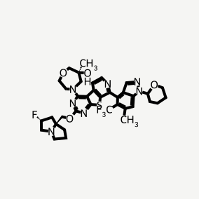 Cc1cc2c(cnn2C2CCCCO2)c(-c2nccc3c2sc2nc(OC[C@@]45CCCN4C[C@H](F)C5)nc(N4CCOC[C@@](C)(O)C4)c23)c1C(F)(F)F